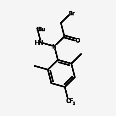 Cc1cc(C(F)(F)F)cc(C)c1N(NC(C)(C)C)C(=O)CBr